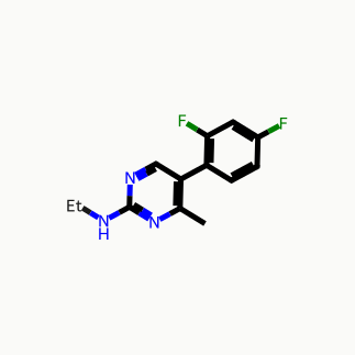 CCNc1ncc(-c2ccc(F)cc2F)c(C)n1